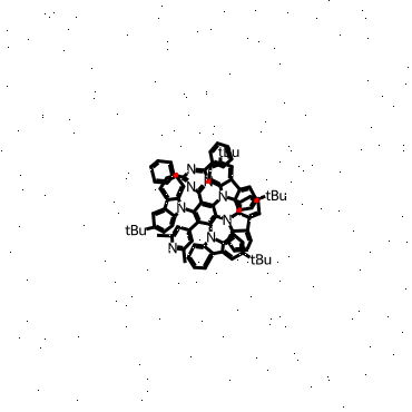 Cc1cc(-c2c(-n3c4ccccc4c4cc(C(C)(C)C)ccc43)c(-c3nc(-c4ccccc4)nc(-c4ccccc4)n3)c(-n3c4ccccc4c4cc(C(C)(C)C)ccc43)c(-n3c4ccccc4c4cc(C(C)(C)C)ccc43)c2-n2c3ccccc3c3cc(C(C)(C)C)ccc32)cc(C)n1